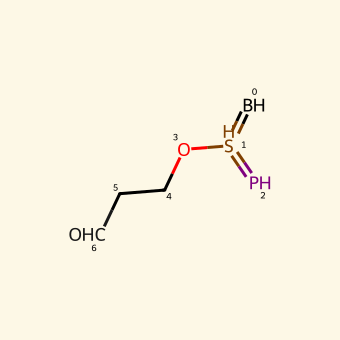 B=[SH](=P)OCCC=O